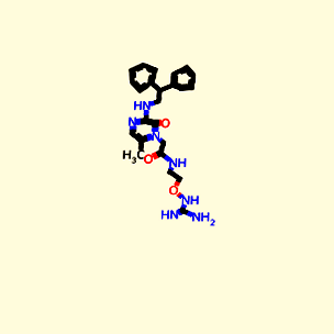 Cc1cnc(NCC(c2ccccc2)c2ccccc2)c(=O)n1CC(=O)NCCONC(=N)N